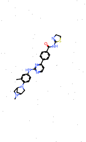 Cc1cc(Nc2nccc(-c3ccc(C(=O)NC4=NCCS4)cc3)n2)ccc1N1CC2CC1CN2C